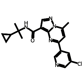 Cc1cc(-c2cncc(Cl)c2)nc2c(C(=O)NC(C)(C)C3CC3)cnn12